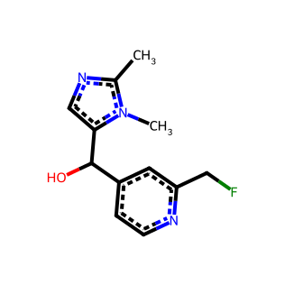 Cc1ncc(C(O)c2ccnc(CF)c2)n1C